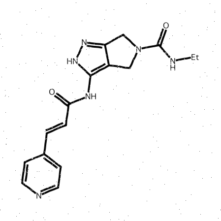 CCNC(=O)N1Cc2n[nH]c(NC(=O)/C=C/c3ccncc3)c2C1